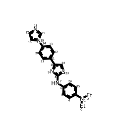 CCN(CC)c1ccc(Nc2nc(-c3ccc(-n4ccnc4)cc3)cs2)cc1